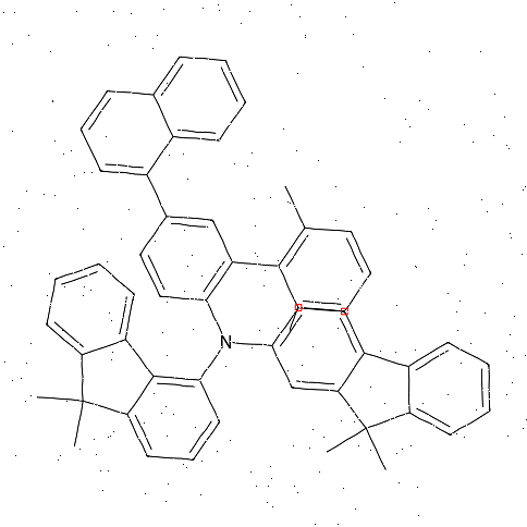 Cc1cccc(C)c1-c1cc(-c2cccc3ccccc23)ccc1N(c1ccc2c(c1)C(C)(C)c1ccccc1-2)c1cccc2c1-c1ccccc1C2(C)C